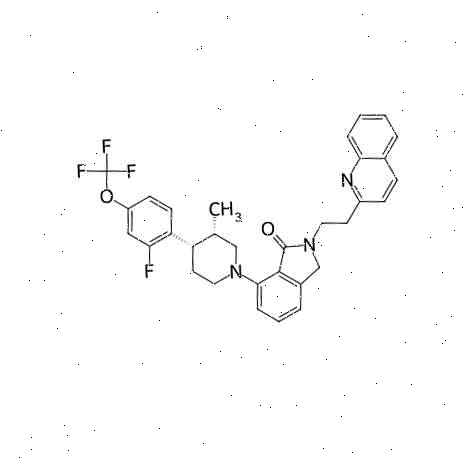 C[C@@H]1CN(c2cccc3c2C(=O)N(CCc2ccc4ccccc4n2)C3)CC[C@@H]1c1ccc(OC(F)(F)F)cc1F